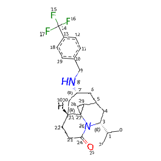 CC(C)[C@H]1CC2C[C@@H](NCc3ccc(C(F)(F)F)cc3)C[C@H]3CCC(=O)N1C31CC21